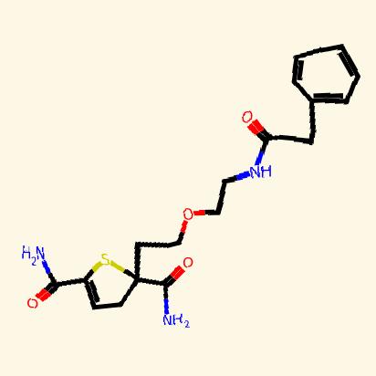 NC(=O)C1=CCC(CCOCCNC(=O)Cc2ccccc2)(C(N)=O)S1